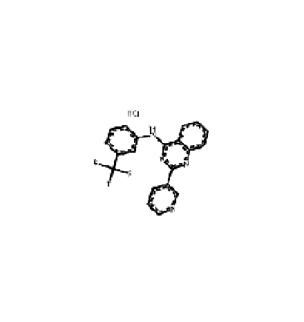 Cl.FC(F)(F)c1cccc(Nc2nc(-c3cccnc3)nc3ccccc23)c1